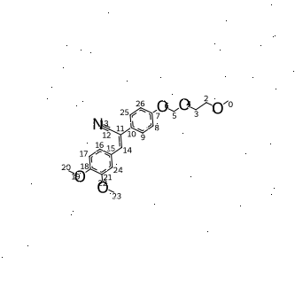 COCCOCOc1ccc(/C(C#N)=C/c2ccc(OC)c(OC)c2)cc1